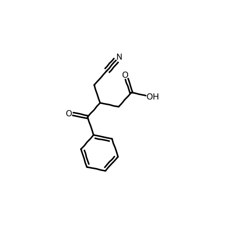 N#CCC(CC(=O)O)C(=O)c1ccccc1